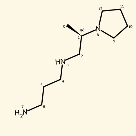 C[C@H](CNCCCN)N1CCCC1